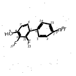 CCCc1ccc(-c2ccc(O)c(F)c2F)cc1